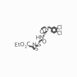 CCOC(=O)Cc1csc(SCC(=O)NC[C@H]2CN(Cc3ccc(Cl)c(Cl)c3)CCO2)n1